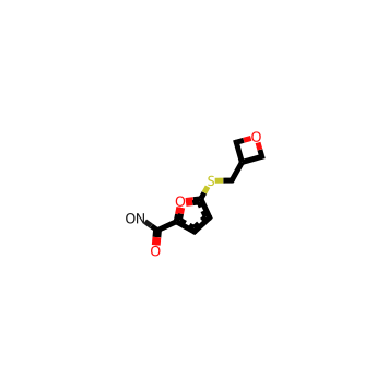 O=NC(=O)c1ccc(SCC2COC2)o1